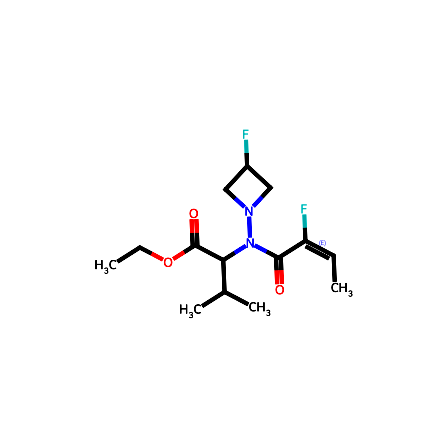 C/C=C(/F)C(=O)N(C(C(=O)OCC)C(C)C)N1CC(F)C1